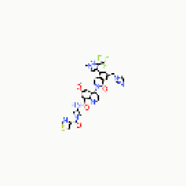 COc1cc(C(=O)NC2CN(C(=O)c3cscn3)C2)c2nccc(N3CCc4c(cc(Cn5ccnc5)cc4-c4cn(C)nc4C(F)(F)F)C3=O)c2c1